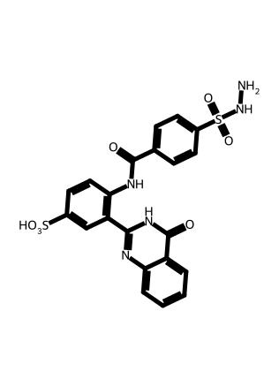 NNS(=O)(=O)c1ccc(C(=O)Nc2ccc(S(=O)(=O)O)cc2-c2nc3ccccc3c(=O)[nH]2)cc1